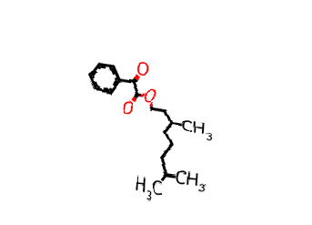 CC(C)CCCC(C)CCOC(=O)C(=O)c1ccccc1